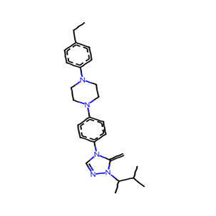 C=C1N(c2ccc(N3CCN(c4ccc(CC)cc4)CC3)cc2)C=NN1C(C)C(C)C